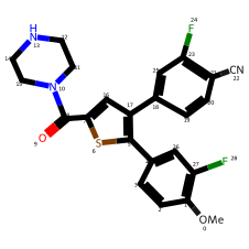 COc1ccc(-c2sc(C(=O)N3CCNCC3)cc2-c2ccc(C#N)c(F)c2)cc1F